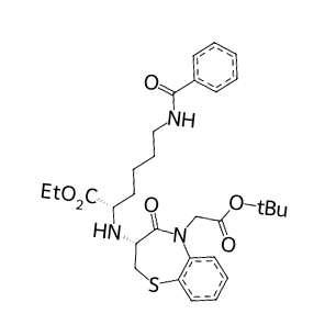 CCOC(=O)[C@H](CCCCNC(=O)c1ccccc1)N[C@H]1CSc2ccccc2N(CC(=O)OC(C)(C)C)C1=O